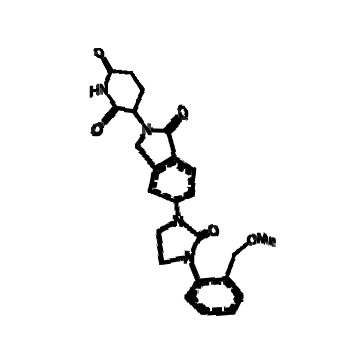 COCc1ccccc1N1CCN(c2ccc3c(c2)CN(C2CCC(=O)NC2=O)C3=O)C1=O